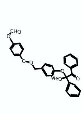 COC(Oc1ccc(COOc2ccc(OC=O)cc2)cc1)(C(=O)c1ccccc1)c1ccccc1